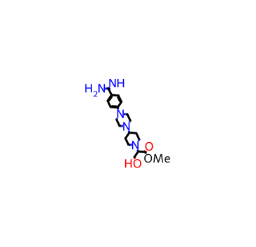 COC(=O)C(CO)N1CCC(N2CCN(c3ccc(C(=N)N)cc3)CC2)CC1